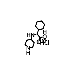 Cl.Cl.O=C(O)[C@@H](NC1CCNCC1)C1CCCCC1